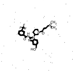 CN(C)CC=CC(=O)N1CCCC(n2c(NC(=O)c3cccc(C(F)(F)F)c3)nc3cc(CO)ccc32)C1